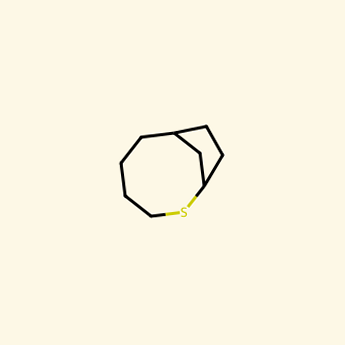 C1CCC2CCC(C2)SC1